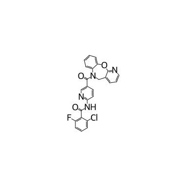 O=C(Nc1ccc(C(=O)N2Cc3cccnc3Oc3ccccc32)cn1)c1c(F)cccc1Cl